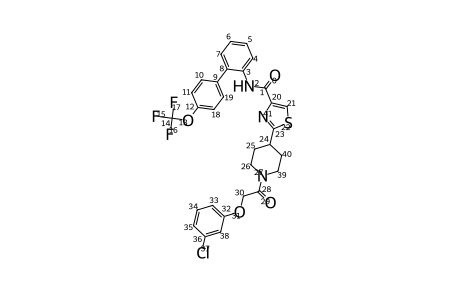 O=C(Nc1ccccc1-c1ccc(OC(F)(F)F)cc1)c1csc(C2CCN(C(=O)COc3cccc(Cl)c3)CC2)n1